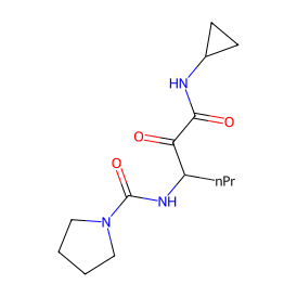 CCCC(NC(=O)N1CCCC1)C(=O)C(=O)NC1CC1